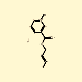 CC=CCOC(=O)c1ccc[n+](C)c1.[I-]